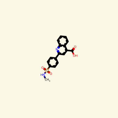 CNS(=O)(=O)c1ccc(-c2cc(C(=O)O)c3ccccc3n2)cc1